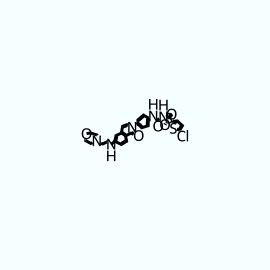 O=C(Nc1ccc(-n2ccc3cc(NCCN4CCOCC4)ccc3c2=O)cc1)NS(=O)(=O)c1ccc(Cl)s1